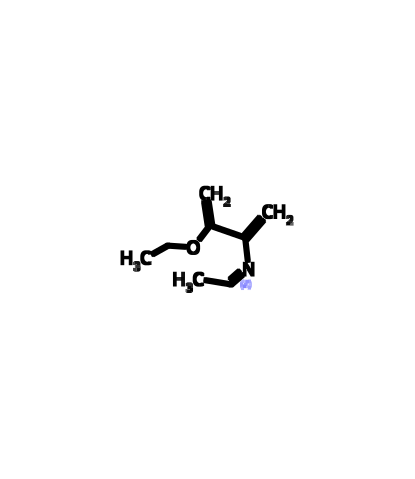 C=C(/N=C\C)C(=C)OCC